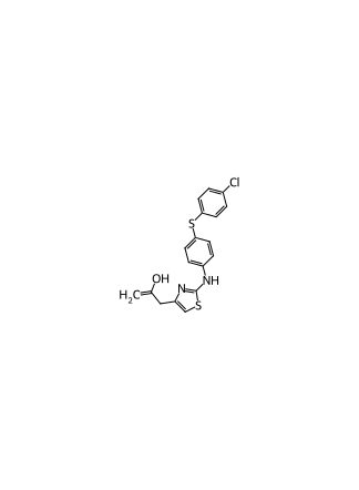 C=C(O)Cc1csc(Nc2ccc(Sc3ccc(Cl)cc3)cc2)n1